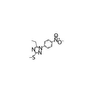 CCc1nc(SC)nn1-c1ccc([N+](=O)[O-])cc1